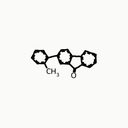 Cc1ccccc1-c1ccc2c(c1)C(=O)c1ccccc1-2